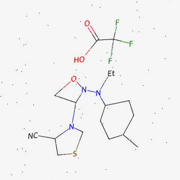 CCN(C1CCC(C)CC1)N1OCC1N1CSCC1C#N.O=C(O)C(F)(F)F